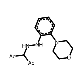 CC(=O)C(NNc1ccccc1N1CCOCC1)C(C)=O